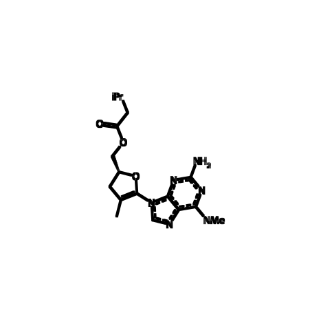 CNc1nc(N)nc2c1ncn2C1=C(C)C[C@@H](COC(=O)CC(C)C)O1